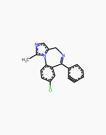 Cc1ncc2n1-c1ccc(Cl)cc1C(c1c#cccc1)=NC2